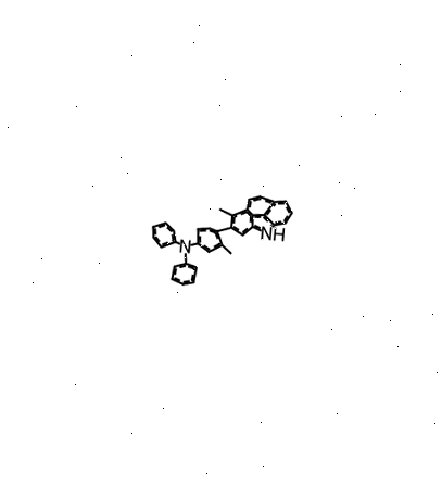 Cc1cc(N(c2ccccc2)c2ccccc2)ccc1-c1cc2[nH]c3cccc4ccc(c1C)c2c43